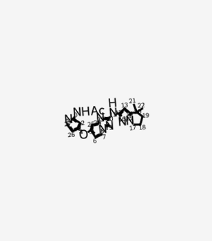 CC(=O)Nc1cc(Oc2ccn3nc(Nc4cc5n(n4)CCCC5(C)C)nc3c2)ccn1